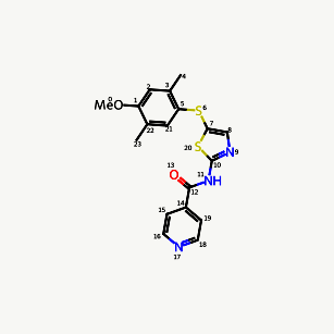 COc1cc(C)c(Sc2cnc(NC(=O)c3ccncc3)s2)cc1C